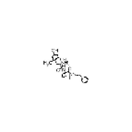 Cc1cc(O)cc(C)c1CC(N)C(=O)NC1(C(=O)NCCCc2ccccc2)CCC1